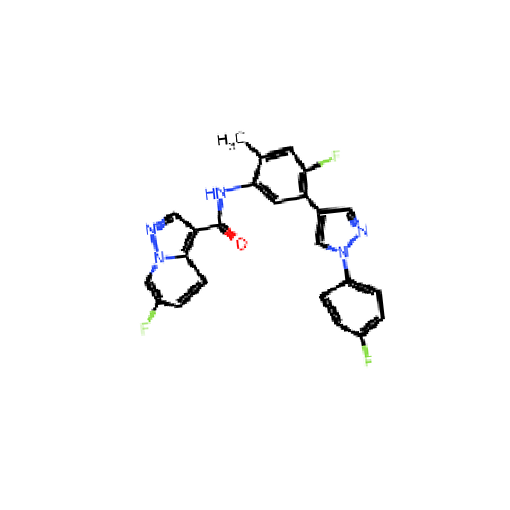 Cc1cc(F)c(-c2cnn(-c3ccc(F)cc3)c2)cc1NC(=O)c1cnn2cc(F)ccc12